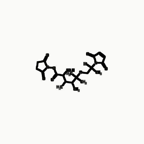 CCC(C)(COC(C)(C)C(C)C(C)C(C(=O)ON1C(=O)CCC1=O)S(=O)(=O)O)N1C(=O)C=CC1=O